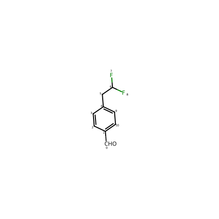 O=Cc1ccc(CC(F)F)cc1